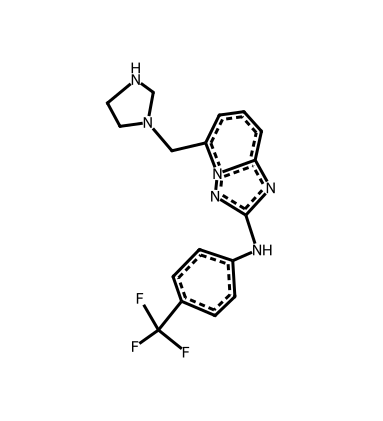 FC(F)(F)c1ccc(Nc2nc3cccc(CN4CCNC4)n3n2)cc1